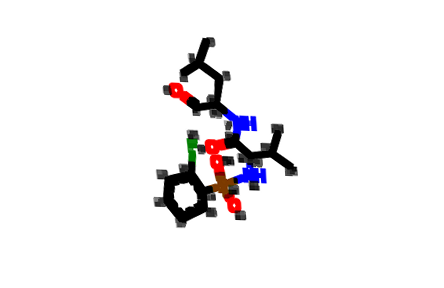 CC(C)C[C@H](C=O)NC(=O)[C@@H](NS(=O)(=O)c1ccccc1F)C(C)C